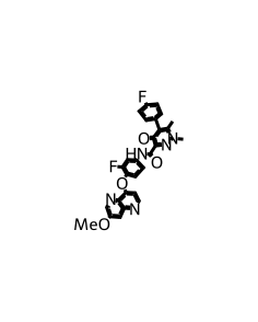 COc1cnc2c(Oc3ccc(NC(=O)c4nn(C)c(C)c(-c5ccc(F)cc5)c4=O)cc3F)ccnc2c1